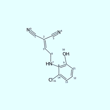 N#CC(C#N)=CCNc1c(O)cccc1Cl